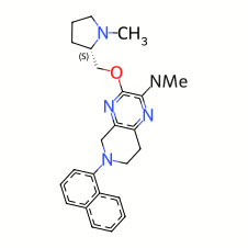 CNc1nc2c(nc1OC[C@@H]1CCCN1C)CN(c1cccc3ccccc13)CC2